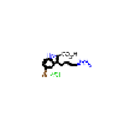 Cl.NCCCc1c(C(=O)O)[nH]c2ccc(Br)cc12